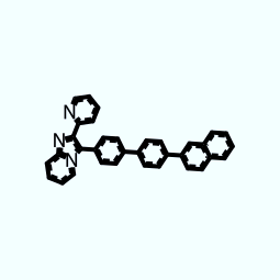 c1ccc(-c2nc3ccccn3c2-c2ccc(-c3ccc(-c4ccc5ccccc5c4)cc3)cc2)nc1